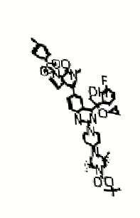 Cc1ccc(S(=O)(=O)n2ccc3c(-c4ccc5nc(N6CCC(N7C[C@@H](C)N(C(=O)OC(C)(C)C)C[C@@H]7C)CC6)nc(C(CO)(OC6CC6)c6cccc(F)c6)c5c4)cn(C)c(=O)c32)cc1